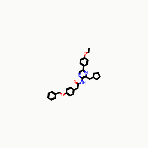 CCOc1ccc(-c2cnc(NC(=O)Cc3ccc(OCc4ccccc4)cc3)c(CC3CCCC3)n2)cc1